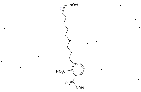 CCCCCCCC/C=C\CCCCCCCCc1cccc(C(=O)OC)c1C(=O)O